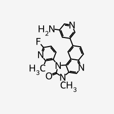 Cc1nc(F)ccc1-n1c(=O)n(C)c2cnc3ccc(-c4cncc(N)c4)cc3c21